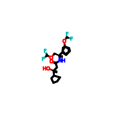 O=C(C[C@H](O)C1CCCC1)N[C@@H](COC(F)F)c1cccc(OC(F)F)c1